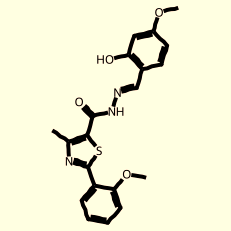 COc1ccc(/C=N/NC(=O)c2sc(-c3ccccc3OC)nc2C)c(O)c1